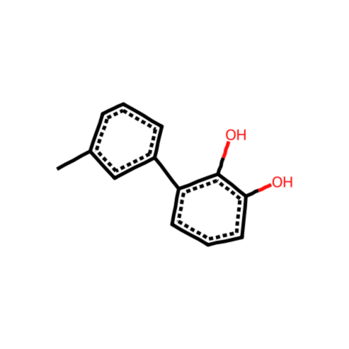 Cc1cccc(-c2cccc(O)c2O)c1